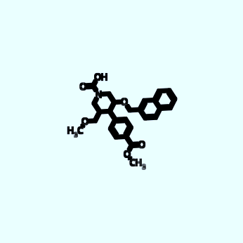 COCC1CN(C(=O)O)CC(OCc2ccc3ccccc3c2)C1c1ccc(C(=O)OC)cc1